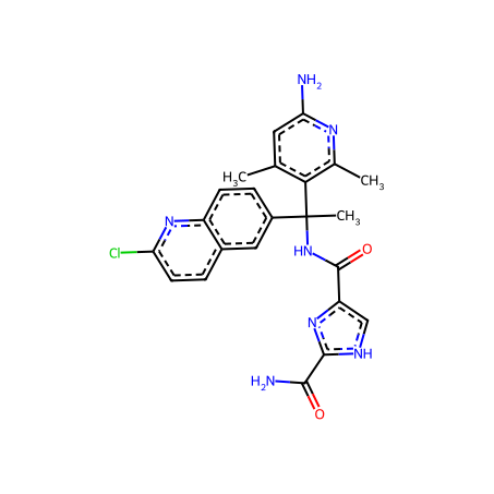 Cc1cc(N)nc(C)c1C(C)(NC(=O)c1c[nH]c(C(N)=O)n1)c1ccc2nc(Cl)ccc2c1